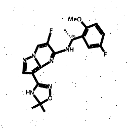 COc1ccc(F)cc1[C@@H](C)Nc1nc2c(C3=NOC(C)(C)N3)cnn2cc1F